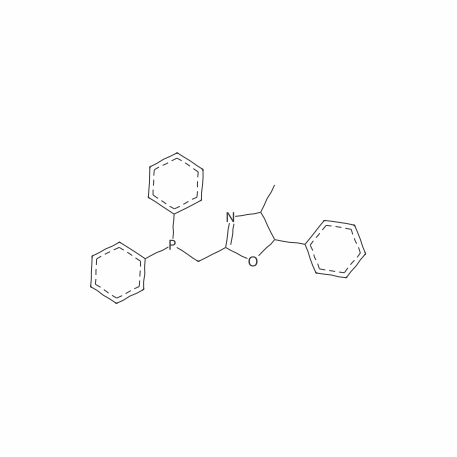 CC1N=C(CP(c2ccccc2)c2ccccc2)OC1c1ccccc1